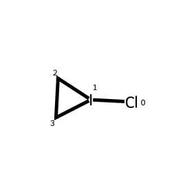 ClI1CC1